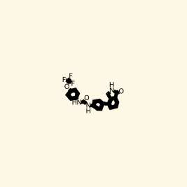 O=C(Nc1ccc(OC(F)(F)F)cc1)Nc1ccc(-c2cccc3c2CNC3=O)cc1